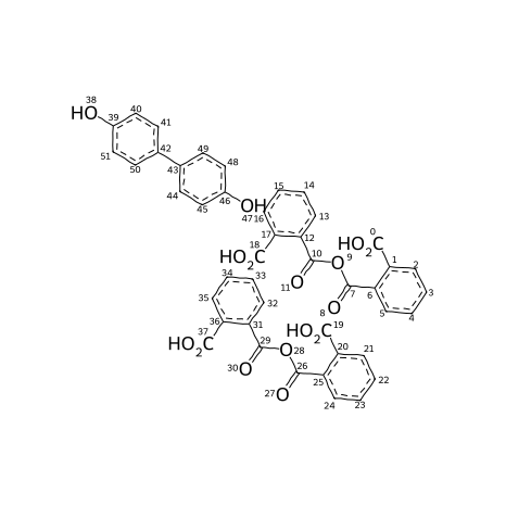 O=C(O)c1ccccc1C(=O)OC(=O)c1ccccc1C(=O)O.O=C(O)c1ccccc1C(=O)OC(=O)c1ccccc1C(=O)O.Oc1ccc(-c2ccc(O)cc2)cc1